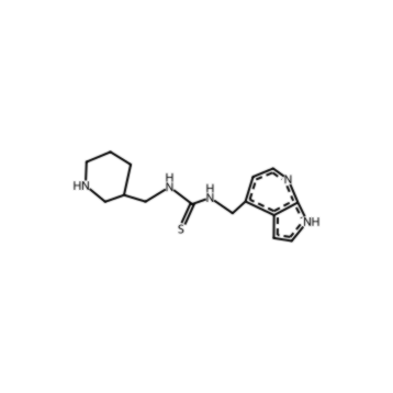 S=C(NCc1ccnc2[nH]ccc12)NCC1CCCNC1